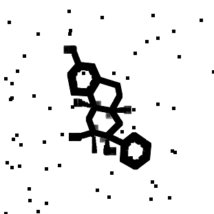 CC[C@@]12C[C@](C)(O)[C@](O)(c3ccccc3)C[C@H]1CCc1cc(O)ccc12